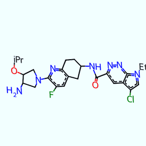 CCn1cc(Cl)c2cc(C(=O)NC3CCc4nc(N5CC(N)C(OC(C)C)C5)c(F)cc4C3)nnc21